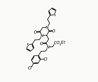 CCOC(=O)CN(CCc1ccc(Cl)cc1Cl)C(=O)CC1C(=O)N(CCc2cccs2)CC(=O)N1CCc1cccs1